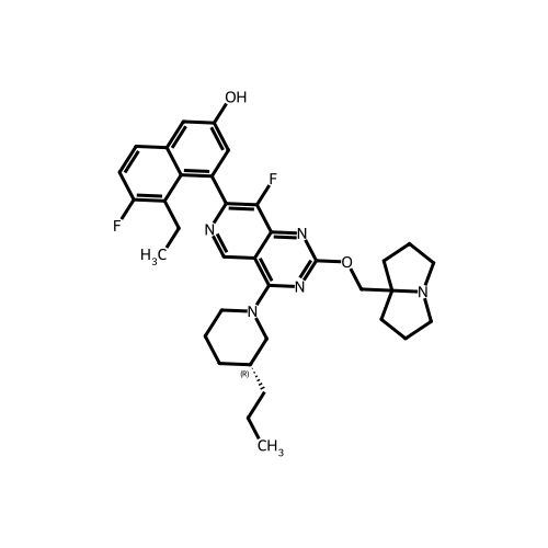 CCC[C@@H]1CCCN(c2nc(OCC34CCCN3CCC4)nc3c(F)c(-c4cc(O)cc5ccc(F)c(CC)c45)ncc23)C1